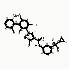 COc1cc(Cl)c(-c2nc(C(=O)Nc3cccc(C(F)(F)C4CC4)c3)c(C)[nH]2)c(C)c1-c1ccccc1C